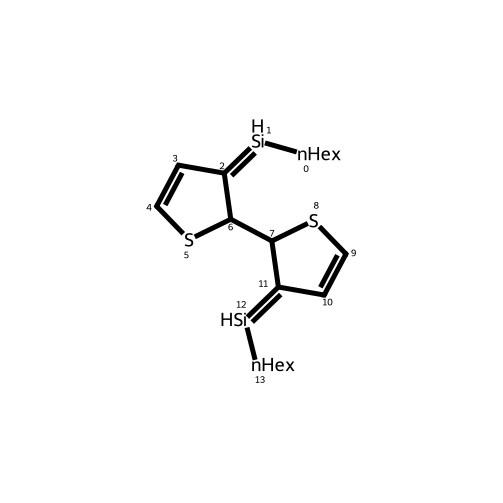 CCCCCC[SiH]=C1C=CSC1C1SC=CC1=[SiH]CCCCCC